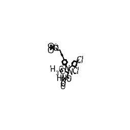 COc1c(C(=O)NN2CCOCC2)nc(-c2ccc(Cl)cc2Cl)n1-c1ccc(C#CCCO[N+](=O)[O-])cc1